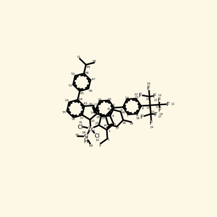 CCC1=Cc2c(-c3ccc(C(C(F)(F)F)(C(F)(F)F)C(F)(F)F)cc3)cccc2[CH]1[Zr]([Cl])([Cl])([CH]1C(C2CCC(C)CC2)=Cc2c(-c3ccc(C(C)C)cc3)cccc21)[SiH](C)C